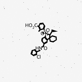 Cc1c(C(=O)O)cccc1S(=O)(=O)N1c2ccc(C(=O)NCc3ccccc3Cl)cc2C2(CCCCC2)C1C1CC1